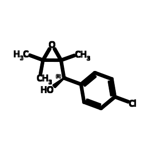 CC1(C)OC1(C)[C@H](O)c1ccc(Cl)cc1